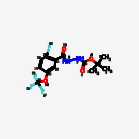 CC(C)(C)OC(=O)NNC(=O)c1cc(OC(F)(F)F)ccc1F